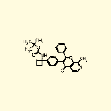 Cc1nccc2c(=O)c(-c3ccc(C4(NC(=O)OC(C)(C)C)CCC4)cc3)c(-c3ccccc3)oc12